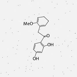 COC1=CCCC=C1CC(=O)c1ccc(O)cc1O